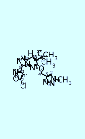 Cn1cc(COc2nn3c(-c4cc(Cl)on4)nnc3cc2C(C)(C)C)nn1